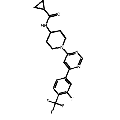 O=C(NC1CCN(c2cc(-c3ccc(C(F)(F)F)c(F)c3)ncn2)CC1)C1CC1